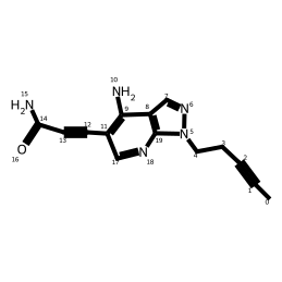 CC#CCCn1ncc2c(N)c(C#CC(N)=O)cnc21